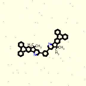 CC1(C)c2cc3c4ccccc4c4ccccc4c3cc2-c2ncc(-c3cccc(-c4cnc5c(c4)C(C)(C)c4cc6c7ccccc7c7ccccc7c6cc4-5)c3)cc21